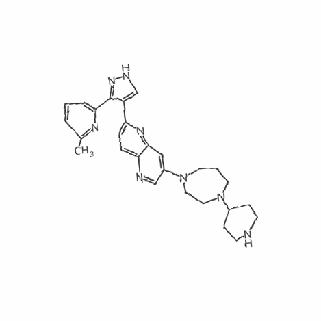 Cc1cccc(-c2n[nH]cc2-c2ccc3ncc(N4CCCN(C5CCNCC5)CC4)cc3n2)n1